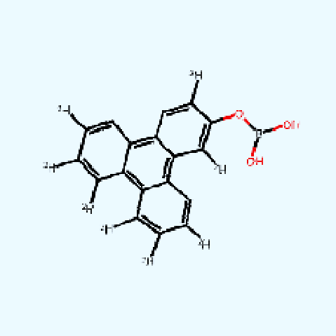 [2H]c1cc2c3cc([2H])c(OB(O)O)c([2H])c3c3cc([2H])c([2H])c([2H])c3c2c([2H])c1[2H]